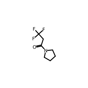 O=C(CC(F)(F)F)N1CCCC1